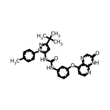 Cc1ccc(-n2nc(C(C)(C)C)cc2NC(=O)Nc2cccc(Oc3ccnc4[nH]c(=O)cnc34)c2)cc1